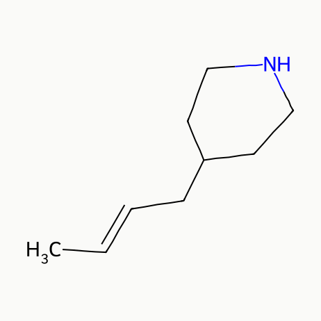 C/C=C/CC1CCNCC1